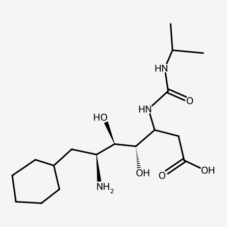 CC(C)NC(=O)NC(CC(=O)O)[C@H](O)[C@H](O)[C@@H](N)CC1CCCCC1